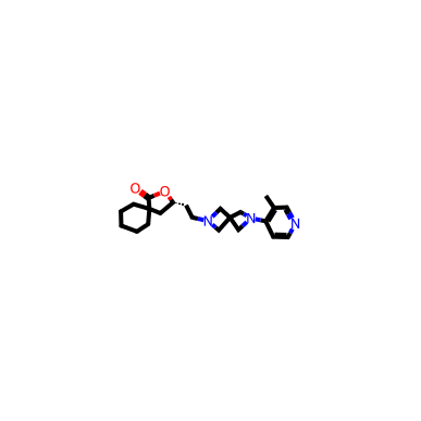 Cc1cnccc1N1CC2(CN(CC[C@@H]3CC4(CCCCC4)C(=O)O3)C2)C1